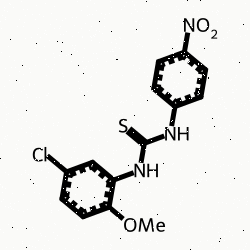 COc1ccc(Cl)cc1NC(=S)Nc1ccc([N+](=O)[O-])cc1